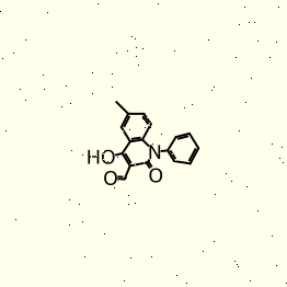 Cc1ccc2c(c1)c(O)c(C=O)c(=O)n2-c1ccccc1